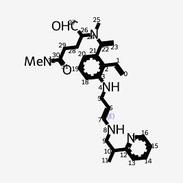 C=Cc1c(NC/C=C/NCC(C)c2ccccn2)cccc1C(=C)N(C)C(C=O)CCC(=O)NC